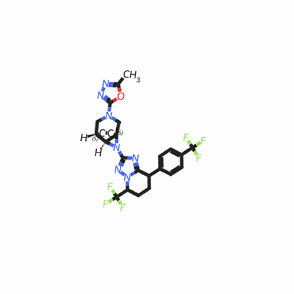 Cc1nnc(N2C[C@@H]3CC[C@]4(C2)[C@H]3N4c2nc3n(n2)C(C(F)(F)F)CCC3c2ccc(C(F)(F)F)cc2)o1